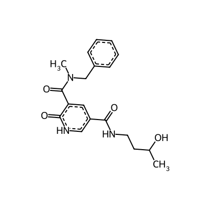 CC(O)CCNC(=O)c1c[nH]c(=O)c(C(=O)N(C)Cc2ccccc2)c1